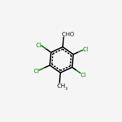 Cc1c(Cl)c(Cl)c(C=O)c(Cl)c1Cl